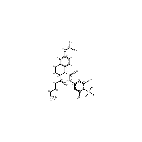 C[Si](C)(C)c1c(F)cc(NC(=O)[C@H]2c3ccc(OC(F)F)nc3CCN2C(=O)CCCC(=O)O)cc1F